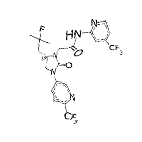 CC(C)(F)C[C@H]1CN(c2ccc(C(F)(F)F)nc2)C(=O)N1CC(=O)Nc1cc(C(F)(F)F)ccn1